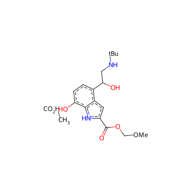 CC(=O)O.COCOC(=O)c1cc2c(C(O)CNC(C)(C)C)ccc(O)c2[nH]1